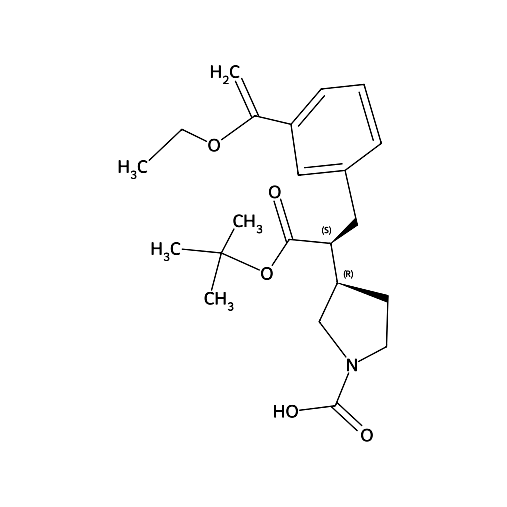 C=C(OCC)c1cccc(C[C@H](C(=O)OC(C)(C)C)[C@H]2CCN(C(=O)O)C2)c1